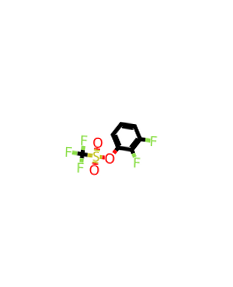 O=S(=O)(Oc1cccc(F)c1F)C(F)(F)F